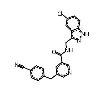 N#Cc1ccc(Cc2cncc(C(=O)NCc3n[nH]c4ccc(Cl)cc34)c2)cc1